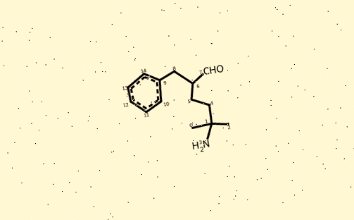 CC(C)(N)CCC(C=O)Cc1ccccc1